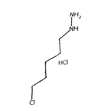 Cl.NNCCCCCCl